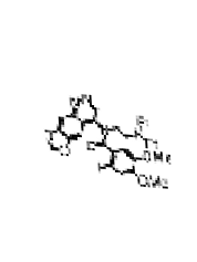 CCN(CC)CCN(C(=O)c1cc(OC)c(OC)cc1I)c1cnnc2cc3c(cc12)OCO3